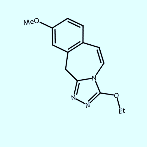 CCOc1nnc2n1C=Cc1ccc(OC)cc1C2